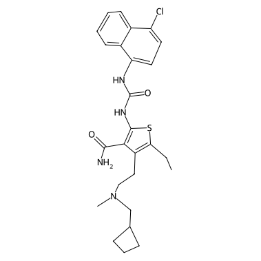 CCc1sc(NC(=O)Nc2ccc(Cl)c3ccccc23)c(C(N)=O)c1CCN(C)CC1CCC1